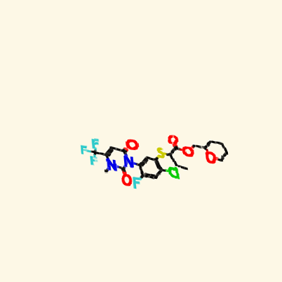 CCC(Sc1cc(-n2c(=O)cc(C(F)(F)F)n(C)c2=O)c(F)cc1Cl)C(=O)OCC1CCCCO1